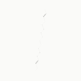 [CH2]C=CCCCCCCCCCCC=CCC